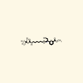 COC(=O)c1cccc(/C(C=N)=C/NCCCCCCNC(=O)OC(C)(C)C)n1